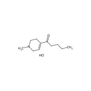 CCCCC(=O)C1=CCN(C)CC1.Cl